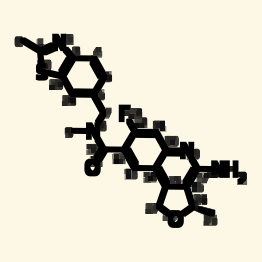 Cc1nc2ccc(CN(C)C(=O)c3cc4c5c(c(N)nc4cc3F)[C@@H](C)OC5)cc2s1